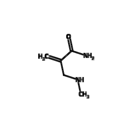 C=C(CNC)C(N)=O